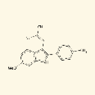 COc1ccc2c(C=C(C#N)C#N)c(-c3ccc(C)cc3)[nH]c2c1